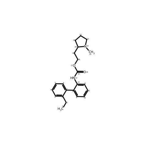 CCc1ccccc1-c1ccccc1NC(=O)OCCC1CCCN1C